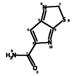 NC(=O)C1=CC2=NCSC2=N1